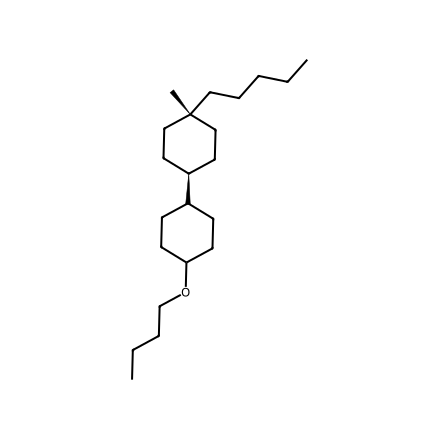 CCCCC[C@]1(C)CC[C@@H](C2CCC(OCCCC)CC2)CC1